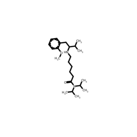 COc1ccccc1CC(NCCCCCC(=O)N(C(C)C)C(C)C)C(C)C